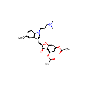 COc1ccc2c(c1)c(/C=C1\Oc3cc(OC(=O)C(C)(C)C)cc(OC(=O)C(C)(C)C)c3C1=O)cn2CCCN(C)C